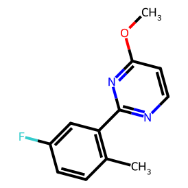 COc1ccnc(-c2cc(F)ccc2C)n1